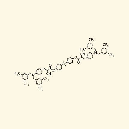 CC(C)(c1ccc(OC(=O)/C(C#N)=C/c2ccc(N(Cc3cc(C(F)(F)F)cc(C(F)(F)F)c3)Cc3cc(C(F)(F)F)cc(C(F)(F)F)c3)cc2)cc1)c1ccc(OC(=O)/C(C#N)=C/c2ccc(N(Cc3cc(C(F)(F)F)cc(C(F)(F)F)c3)Cc3cc(C(F)(F)F)cc(C(F)(F)F)c3)cc2)cc1